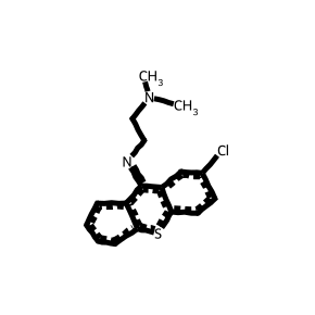 CN(C)CCN=c1c2ccccc2sc2ccc(Cl)cc12